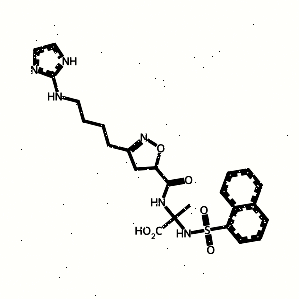 CC(NC(=O)C1CC(CCCCNc2ncc[nH]2)=NO1)(NS(=O)(=O)c1cccc2ccccc12)C(=O)O